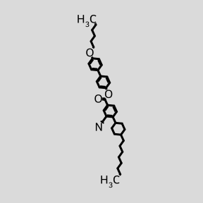 CCCCCCCCC1CCC(c2ccc(C(=O)Oc3ccc(-c4ccc(OCCCCCC)cc4)cc3)cc2C#N)CC1